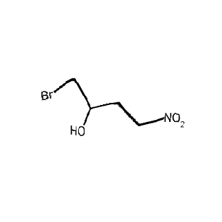 O=[N+]([O-])CCC(O)CBr